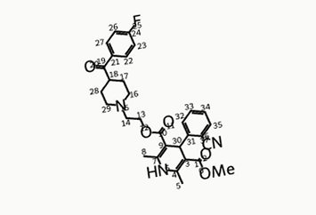 COC(=O)C1=C(C)NC(C)=C(C(=O)OCCN2CCC(C(=O)c3ccc(F)cc3)CC2)C1c1ccccc1C#N